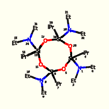 CCN(CC)[Si]1(C(C)C)O[Si](C(C)C)(N(CC)CC)O[Si](C(C)C)(N(CC)CC)O[Si](C(C)C)(N(CC)CC)O1